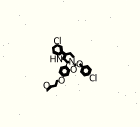 O=C(Oc1ccc(Cl)cc1)N1CCc2c([nH]c3c2=CC(Cl)CC=3)[C@@H]1c1ccc(OCCC2CO2)cc1